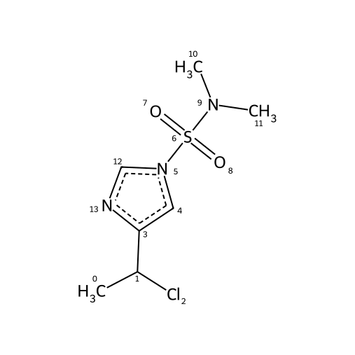 CC(Cl)c1cn(S(=O)(=O)N(C)C)cn1